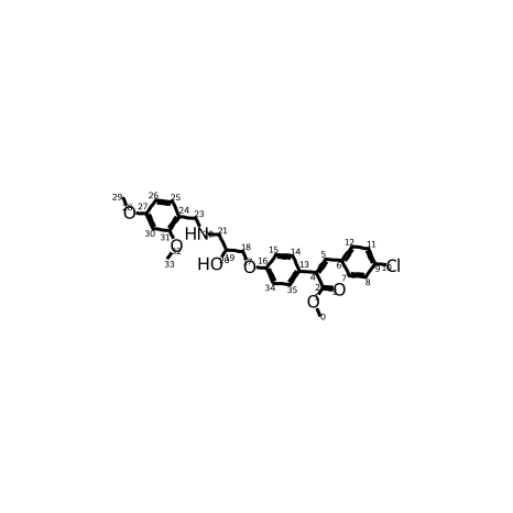 COC(=O)/C(=C\c1ccc(Cl)cc1)c1ccc(OCC(O)CNCc2ccc(OC)cc2OC)cc1